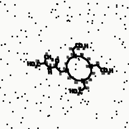 CC(NC(=O)CN1CCN(CC(=O)O)CCN(CC(=O)O)CCN(CC(=O)O)CC1)C(=O)O